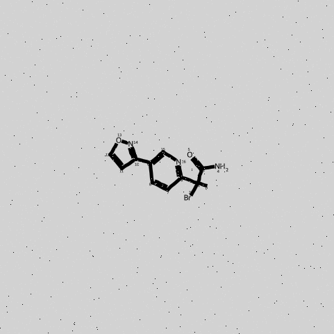 CC(Br)(C(N)=O)c1ccc(-c2ccon2)cn1